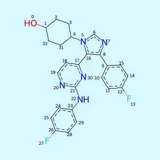 OC1CCC(n2cnc(-c3ccc(F)cc3)c2-c2ccnc(Nc3ccc(F)cc3)n2)CC1